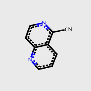 N#Cc1nccc2ncccc12